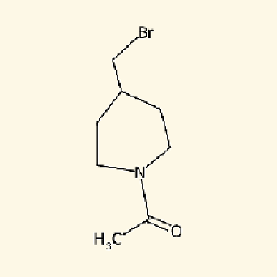 CC(=O)N1CCC(CBr)CC1